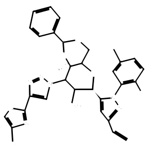 C=Cc1cc([C@@H]2OC3COC(c4ccccc4)O[C@@H]3C(n3cc(-c4nc(Cl)cs4)nn3)C2OC)n(-c2cc(Cl)ccc2C(F)(F)F)n1